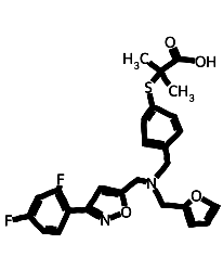 CC(C)(Sc1ccc(CN(Cc2ccco2)Cc2cc(-c3ccc(F)cc3F)no2)cc1)C(=O)O